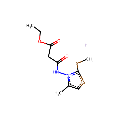 CCOC(=O)CC(=O)N[n+]1c(C)csc1SC.[I-]